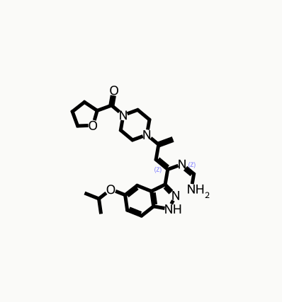 C=C(/C=C(\N=C/N)c1n[nH]c2ccc(OC(C)C)cc12)N1CCN(C(=O)C2CCCO2)CC1